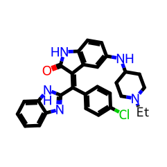 CCN1CCC(Nc2ccc3c(c2)C(=C(c2ccc(Cl)cc2)c2nc4ccccc4[nH]2)C(=O)N3)CC1